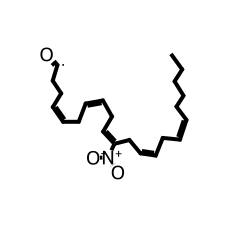 CCCCC/C=C\C/C=C\C/C(=C\C/C=C\C/C=C\CC[C]=O)[N+](=O)[O-]